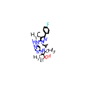 CCC(O)c1c(C)nn(-c2cc(Nc3c(C)c(-c4ccc(F)cc4)nn3CC3CC3)ncn2)c1C